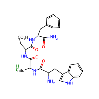 CCCCC(NC(=O)C(N)Cc1c[nH]c2ccccc12)C(=O)NC(CC(=O)O)C(=O)NC(Cc1ccccc1)C(N)=O.Cl